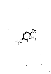 C=C(I)/C=C\C(=C)CC